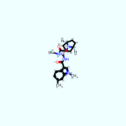 Cc1ccc2c(C(=O)NC[C@@H]3C[C@H]4CC[C@@H](C3)N4CC(=O)NC(C)(C)C)cn(C)c2c1